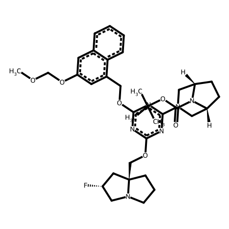 COCOc1cc(COc2nc(OC[C@@]34CCCN3C[C@H](F)C4)nc(N3C[C@H]4CC[C@@H](C3)N4C(=O)OC(C)(C)C)n2)c2ccccc2c1